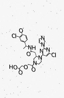 COc1ccc(C(C)NC(=O)CC2CN(C(=O)COCC(=O)O)CCN2c2cc(Cl)nc(-n3ccnc3)n2)cc1Cl